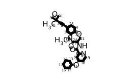 CN1C(=O)[C@H](NC(=O)c2cc(Oc3ccccc3)ccn2)COc2ccc(C#CC3(C)COC3)cc21